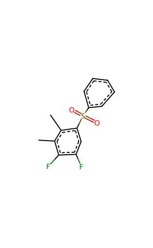 Cc1c(S(=O)(=O)c2ccccc2)cc(F)c(F)c1C